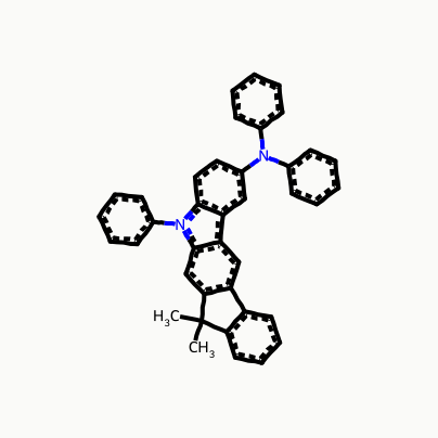 CC1(C)c2ccccc2-c2cc3c4cc(N(c5ccccc5)c5ccccc5)ccc4n(-c4ccccc4)c3cc21